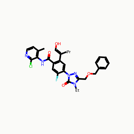 CCn1c(COCc2ccccc2)nn(-c2cc(/C(=C/O)C(C)C)c(C(=O)Nc3c(C)ccnc3Cl)cc2F)c1=O